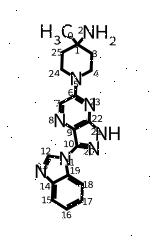 CC1(N)CCN(c2cnc3c(-n4cnc5ccccc54)n[nH]c3n2)CC1